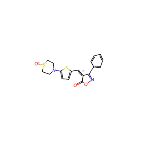 O=C1ON=C(c2ccccc2)/C1=C/c1ccc(N2CC[S+]([O-])CC2)s1